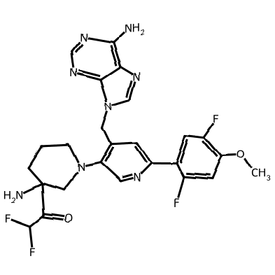 COc1cc(F)c(-c2cc(Cn3cnc4c(N)ncnc43)c(N3CCCC(N)(C(=O)C(F)F)C3)cn2)cc1F